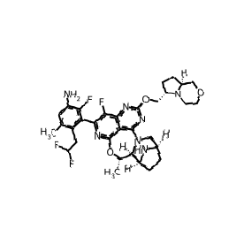 Cc1cc(N)c(F)c(-c2nc3c4c(nc(OC[C@@H]5CC[C@H]6COCCN65)nc4c2F)N2C[C@H]4CC[C@H](N4)[C@H]2[C@H](C)O3)c1CC(F)F